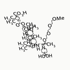 C=C(C)[C@@H]1CC[C@]2(NC[C@H]([C@@H](C)OCCOCCOCCOC)N3CCS(O)(O)CC3)CC[C@]3(C)[C@H](CC[C@@H]4[C@@]5(C)CC[C@H](OC(=O)[C@H]6C[C@@H](C(=O)O)C6(C)C)C(C)(C)[C@@H]5CC[C@]43C)[C@@H]12